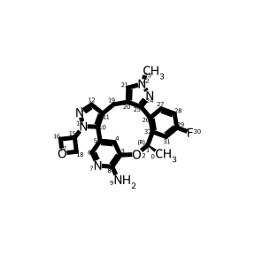 C[C@H]1Oc2cc(cnc2N)-c2c(cnn2C2COC2)Cc2cn(C)nc2-c2ccc(F)cc21